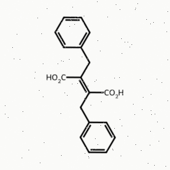 O=C(O)/C(Cc1ccccc1)=C(\Cc1ccccc1)C(=O)O